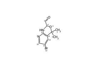 CC1(C)OC(C=O)Nc2ncc(Br)cc21